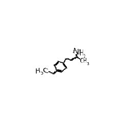 CCc1ccc(CCC(C)N)cc1